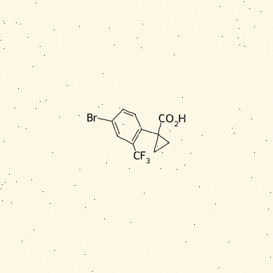 O=C(O)C1(c2ccc(Br)cc2C(F)(F)F)CC1